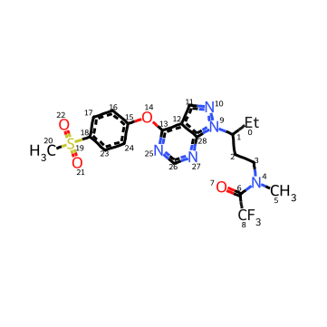 CCC(CCN(C)C(=O)C(F)(F)F)n1ncc2c(Oc3ccc(S(C)(=O)=O)cc3)ncnc21